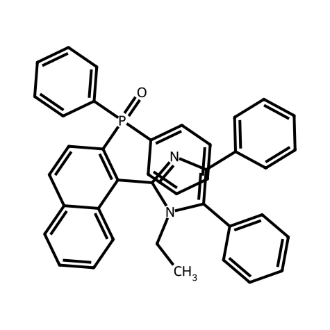 CCn1c(-c2c(P(=O)(c3ccccc3)c3ccccc3)ccc3ccccc23)nc(-c2ccccc2)c1-c1ccccc1